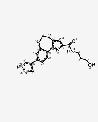 O=C(NCCCO)c1nc2c(s1)CCOc1cc(-c3cn[nH]c3)ccc1-2